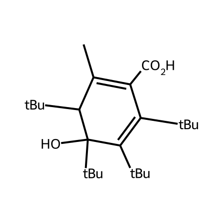 CC1=C(C(=O)O)C(C(C)(C)C)=C(C(C)(C)C)C(O)(C(C)(C)C)C1C(C)(C)C